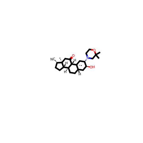 CC1(C)CN([C@H]2C[C@@]3(C)[C@@H](CC[C@H]4[C@@H]5CC[C@H](C#N)[C@@]5(C)CC(=O)[C@@H]43)C[C@@H]2O)CCO1